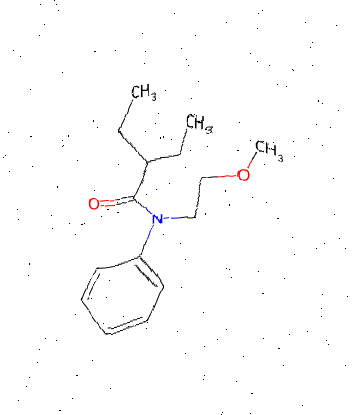 CCC(CC)C(=O)N(CCOC)c1ccccc1